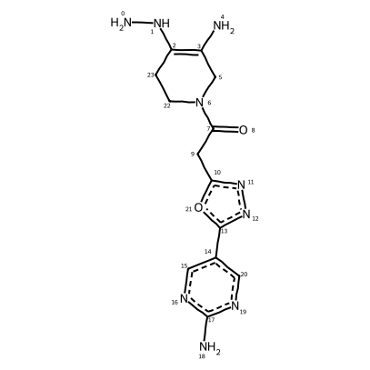 NNC1=C(N)CN(C(=O)Cc2nnc(-c3cnc(N)nc3)o2)CC1